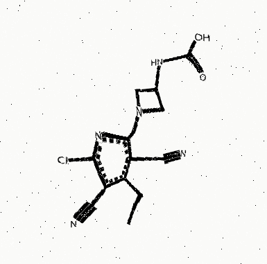 CCc1c(C#N)c(Cl)nc(N2CC(NC(=O)O)C2)c1C#N